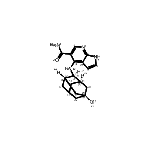 CNC(=O)c1cnc2[nH]ccc2c1N[C@H]1[C@@H]2CC3C[C@H]1C[C@@](O)(C3)C2